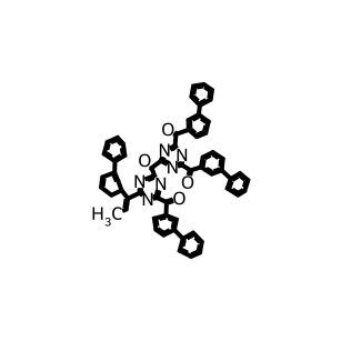 CC=C(c1nc(C(=O)c2cccc(-c3ccccc3)c2)nc(C(=O)c2nc(C(=O)c3cccc(-c4ccccc4)c3)nc(C(=O)c3cccc(-c4ccccc4)c3)n2)n1)C1C=C(c2ccccc2)C=CC1